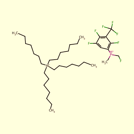 CCCCCC[CH2][Al-]([CH2]CCCCCC)([CH2]CCCCCC)[CH2]CCCCCC.C[PH+](CF)c1cc(F)c(F)c(C(F)(F)F)c1F